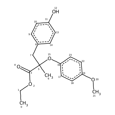 CCOC(=O)C(C)(Cc1ccc(O)cc1)Oc1ccc(OC)cc1